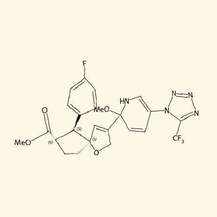 COC(=O)[C@H]1CC[C@@]2(C=C(C3(OC)C=CC(n4nnnc4C(F)(F)F)=CN3)CO2)[C@@H]1c1ccc(F)cc1